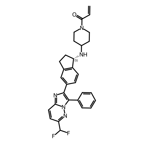 C=CC(=O)N1CCC(N[C@H]2CCc3cc(-c4nc5ccc(C(F)F)nn5c4-c4ccccc4)ccc32)CC1